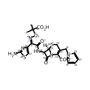 CC(C)(O/N=C(\C(=O)NC1C(=O)N2C(C(=O)[O-])=C(C[n+]3ccccc3)CS[C@H]12)c1csc(N)n1)C(=O)O